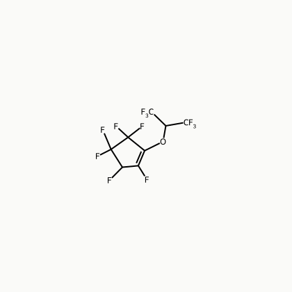 FC1=C(OC(C(F)(F)F)C(F)(F)F)C(F)(F)C(F)(F)C1F